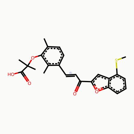 CSc1cccc2oc(C(=O)/C=C/c3ccc(C)c(OC(C)(C)C(=O)O)c3C)cc12